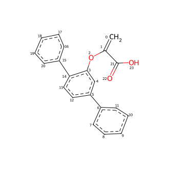 C=C(Oc1cc(-c2ccccc2)ccc1-c1ccccc1)C(=O)O